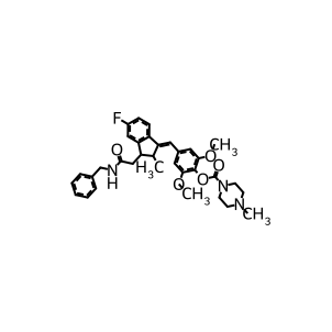 COc1cc(C=C2c3ccc(F)cc3C(CC(=O)NCc3ccccc3)C2C)cc(OC)c1OC(=O)N1CCN(C)CC1